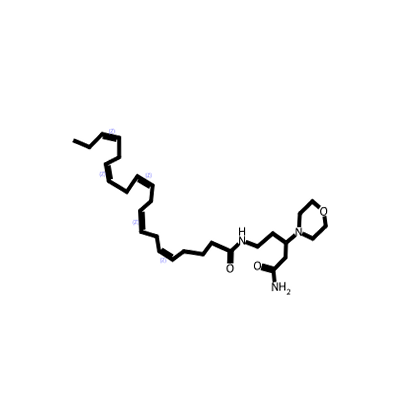 CC/C=C\C/C=C\C/C=C\C/C=C\C/C=C\CCCC(=O)NCCC(CC(N)=O)N1CCOCC1